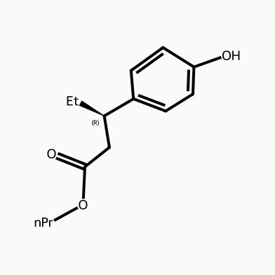 CCCOC(=O)C[C@@H](CC)c1ccc(O)cc1